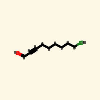 O=CC#CCCCCCCCl